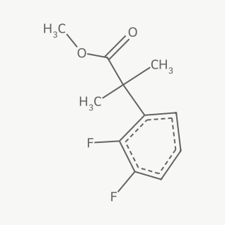 COC(=O)C(C)(C)c1cccc(F)c1F